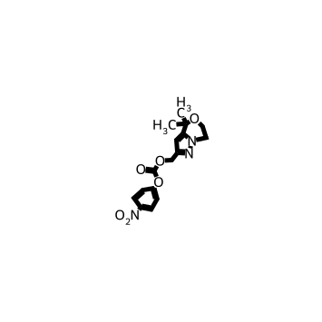 CC1(C)OCCn2nc(COC(=O)Oc3ccc([N+](=O)[O-])cc3)cc21